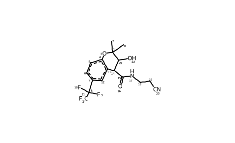 CC1(C)Oc2ccc(C(F)(F)C(F)(F)F)cc2C(C(=O)NCCC#N)C1O